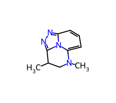 CC1CN(C)c2cccc3nnc1n23